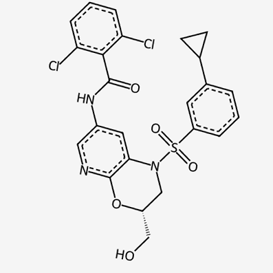 O=C(Nc1cnc2c(c1)N(S(=O)(=O)c1cccc(C3CC3)c1)C[C@H](CO)O2)c1c(Cl)cccc1Cl